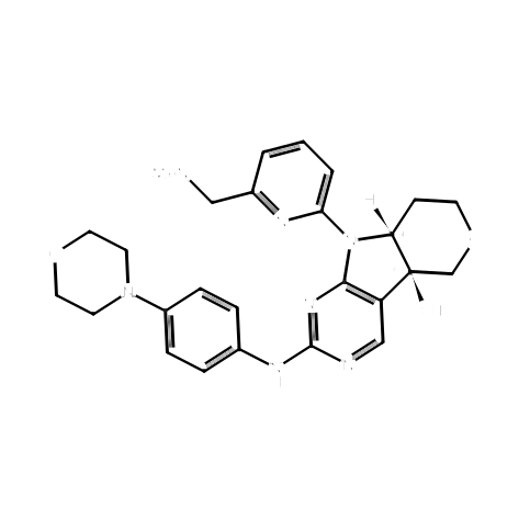 CNCc1cccc(N2c3nc(Nc4ccc(N5CCOCC5)cc4)ncc3[C@@]3(C)COCC[C@@H]23)n1